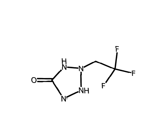 O=C1[N]NN(CC(F)(F)F)N1